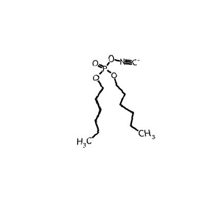 [C-]#[N+]OP(=O)(OCCCCCC)OCCCCCC